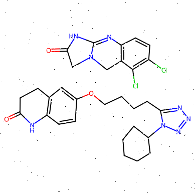 O=C1CCc2cc(OCCCCc3nnnn3C3CCCCC3)ccc2N1.O=C1CN2Cc3c(ccc(Cl)c3Cl)N=C2N1